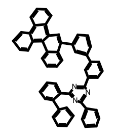 c1ccc(-c2nc(-c3cccc(-c4cccc(-c5cc6c7ccccc7c7ccccc7c6c6ccccc56)c4)c3)nc(-c3ccccc3-c3ccccc3)n2)cc1